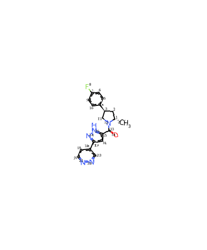 C[C@H]1C[C@H](c2ccc(F)cc2)CN1C(=O)c1cc(-c2ccnnc2)n[nH]1